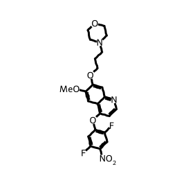 COc1cc2c(Oc3cc(F)c([N+](=O)[O-])cc3F)ccnc2cc1OCCCN1CCOCC1